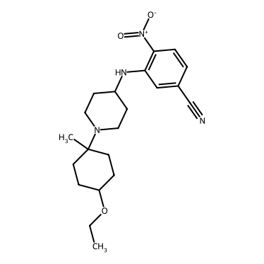 CCOC1CCC(C)(N2CCC(Nc3cc(C#N)ccc3[N+](=O)[O-])CC2)CC1